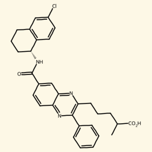 CC(CCCc1nc2cc(C(=O)N[C@@H]3CCCc4cc(Cl)ccc43)ccc2nc1-c1ccccc1)C(=O)O